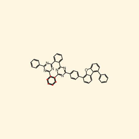 c1ccc(-c2nc(-c3ccccc3)nc(-c3ccccc3-c3nc(-c4ccccc4)nc(-c4ccc(-c5cccc6c5oc5cccc(-c7ccccc7)c56)cc4)n3)n2)cc1